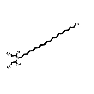 CCCCCCCCCCCCCCCCCCCCN(C(O)CC)C(O)CC